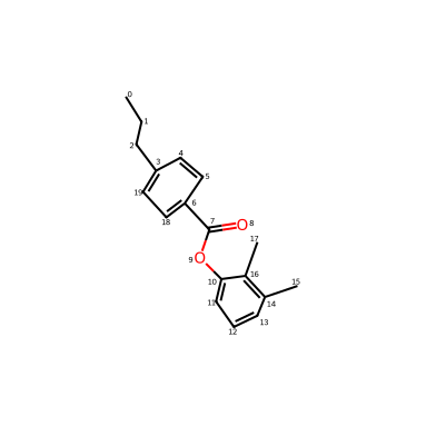 CCCc1ccc(C(=O)Oc2cccc(C)c2C)cc1